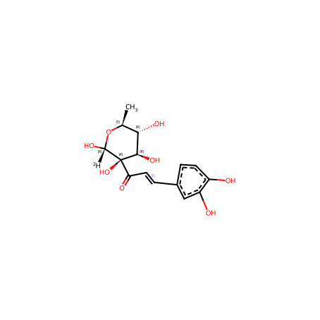 [2H][C@@]1(O)O[C@@H](C)[C@H](O)[C@@H](O)[C@]1(O)C(=O)/C=C/c1ccc(O)c(O)c1